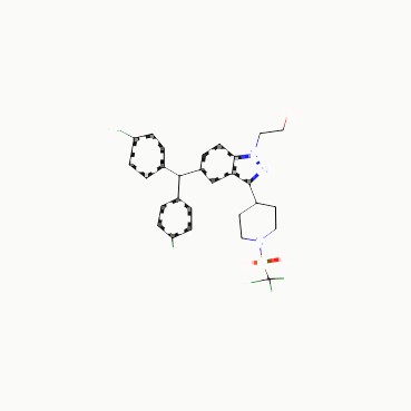 O=S(=O)(N1CCC(c2nn(CCO)c3ccc(C(c4ccc(Cl)cc4)c4ccc(Cl)cc4)cc23)CC1)C(F)(F)F